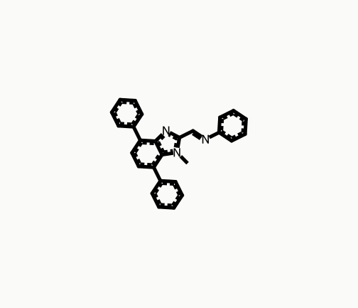 Cn1c(/C=N/c2ccccc2)nc2c(-c3ccccc3)ccc(-c3ccccc3)c21